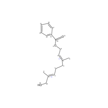 C/C(=C\CC/C(C)=C/COC(=O)c1ccccc1)CO